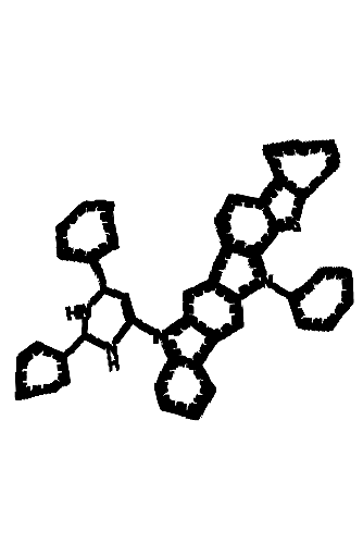 C1=C(n2c3ccccc3c3cc4c(cc32)c2ccc3c5ccccc5sc3c2n4-c2ccccc2)NC(c2ccccc2)NC1c1ccccc1